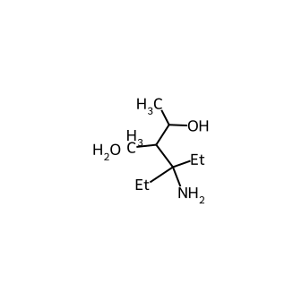 CCC(N)(CC)C(C)C(C)O.O